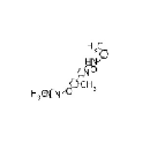 Cc1cccc(CNC(=O)Cc2ccc(-c3ccc(OCCN4CCN(C)CC4)cc3C)cn2)c1